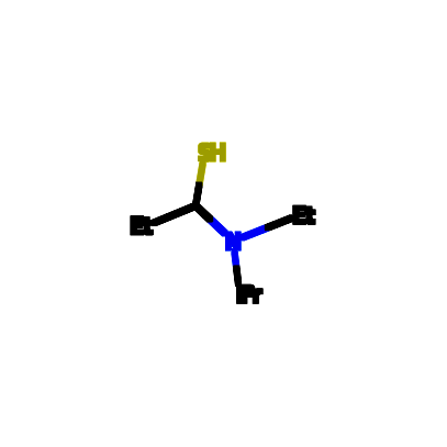 CCC(S)N(CC)C(C)C